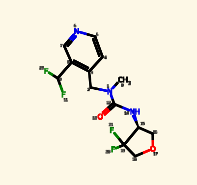 CN(Cc1ccncc1C(F)F)C(=O)N[C@H]1COCC1(F)F